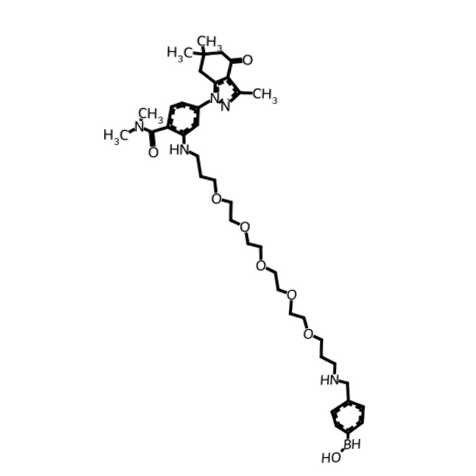 Cc1nn(-c2ccc(C(=O)N(C)C)c(NCCCOCCOCCOCCOCCOCCCNCc3ccc(BO)cc3)c2)c2c1C(=O)CC(C)(C)C2